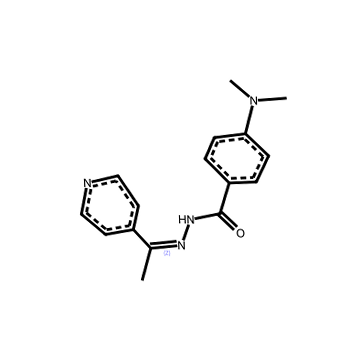 C/C(=N/NC(=O)c1ccc(N(C)C)cc1)c1ccncc1